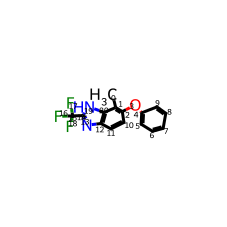 Cc1c(Oc2ccccc2)ccc2nc(C(F)(F)F)[nH]c12